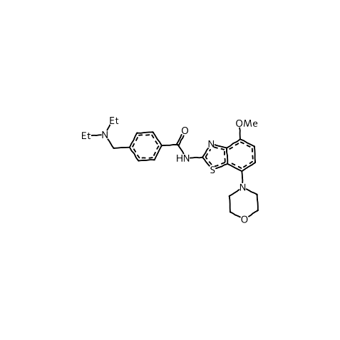 CCN(CC)Cc1ccc(C(=O)Nc2nc3c(OC)ccc(N4CCOCC4)c3s2)cc1